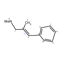 CNC/C(C)=C/c1ccccc1